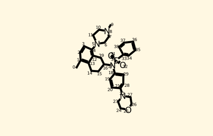 Cc1ccc(N2CCN(C)CC2)c2c1CCC(N(c1ccc(N3CCOCC3)cc1)S(=O)(=O)c1ccccc1)C2